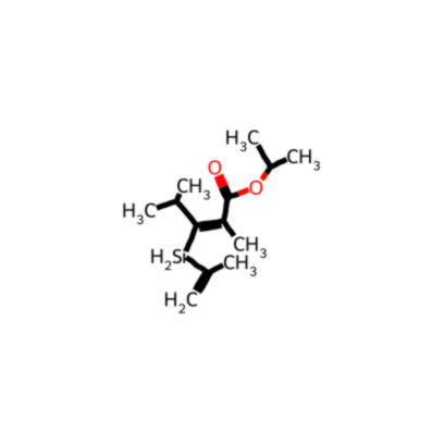 C=C(C)[SiH2]C(=C(C)C(=O)OC(C)C)C(C)C